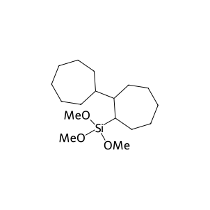 CO[Si](OC)(OC)C1CCCCCC1C1CCCCCC1